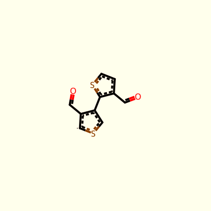 O=Cc1[c]scc1-c1sccc1C=O